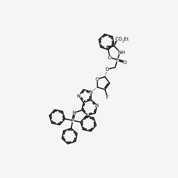 CCOC(=O)[C@H](C)NP(=O)(CO[C@@H]1C=C(F)[C@H](n2cnc3c(N=P(c4ccccc4)(c4ccccc4)c4ccccc4)ncnc32)O1)Oc1ccccc1